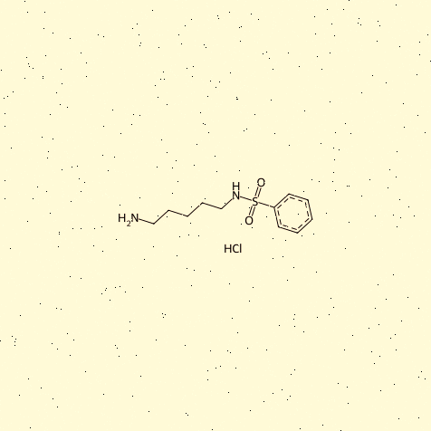 Cl.NCCCCCNS(=O)(=O)c1ccccc1